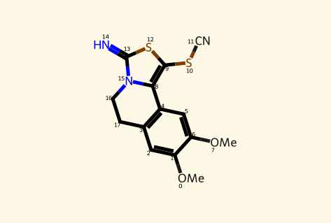 COc1cc2c(cc1OC)-c1c(SC#N)sc(=N)n1CC2